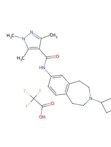 Cc1nn(C)c(C)c1C(=O)Nc1ccc2c(c1)CCN(C1CCC1)CC2.O=C(O)C(F)(F)F